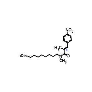 CCCCCCCCCCCCCCCCCCN(C)C(=O)/C(C)=C/c1ccc([N+](=O)[O-])cc1